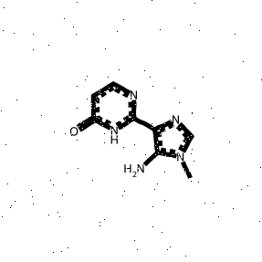 Cn1cnc(-c2nccc(=O)[nH]2)c1N